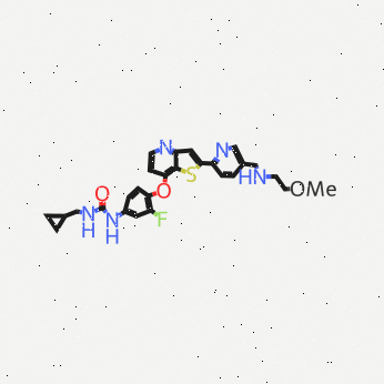 COCCNCc1ccc(-c2cc3nccc(Oc4ccc(NC(=O)NCC5CC5)cc4F)c3s2)nc1